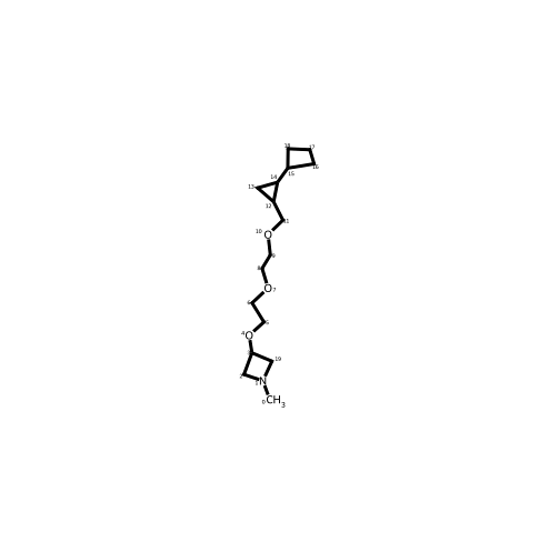 CN1CC(OCCOCCOCC2CC2C2CCC2)C1